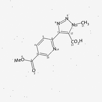 COC(=O)c1ccc(-c2nnn(C)c2C(=O)O)nc1